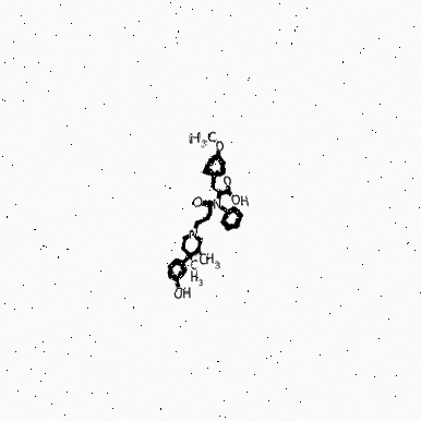 COc1ccc(C[C@@H](C(=O)O)N(C(=O)CCN2CC[C@@](C)(c3cccc(O)c3)[C@@H](C)C2)c2ccccc2)cc1